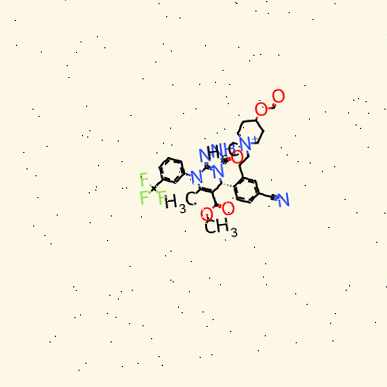 COC(=O)C1=C(C)N(c2cccc(C(F)(F)F)c2)c2n[nH]c(=O)n2[C@@H]1c1ccc(C#N)cc1CC[N+]1(C)CCC(OC=O)CC1